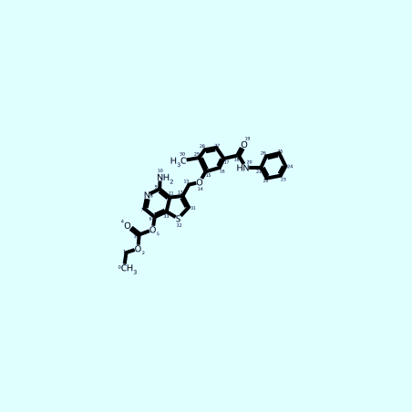 CCOC(=O)Oc1cnc(N)c2c(COc3cc(C(=O)Nc4ccccc4)ccc3C)csc12